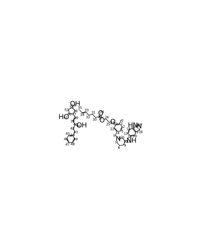 Cc1ccc(CN2CCCC(Nc3ccc4[nH]ncc4c3)C2)cc1OCCOC(=O)CCCC=CC[C@@H]1[C@@H](C=CC(O)CCc2ccccc2)[C@H](O)C[C@@H]1O